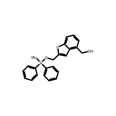 CC(C)(C)[Si](OCc1cc2c(CO)cccc2o1)(c1ccccc1)c1ccccc1